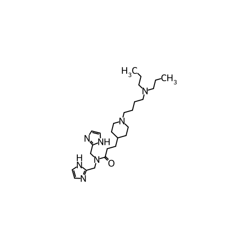 CCCN(CCC)CCCCN1CCC(CCC(=O)N(Cc2ncc[nH]2)Cc2ncc[nH]2)CC1